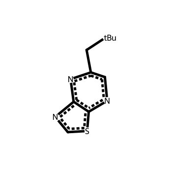 CC(C)(C)Cc1cnc2scnc2n1